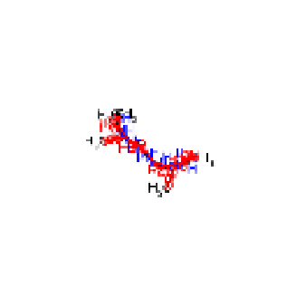 CCNC(=O)c1ccc(C(=O)NCCN(CCNC(=O)c2ccc(C(=O)NCCNCCNCCNC(=O)c3ccc(C(=O)NCCN(CCNC(=O)c4ccc(C(=O)NC(C)C)c(O)c4O)CCOCCOCCOC)c(O)c3O)c(O)c2O)CCOCCOCCOC)c(O)c1O